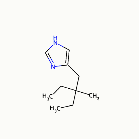 CCC(C)(CC)Cc1c[nH]cn1